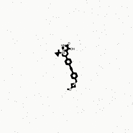 COC1CN(Cc2ccc(C#Cc3ccc(C(CNC4(C)CC4)Cc4nc[nH]c(=O)c4O)cc3)cc2)C1